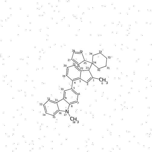 CC1=Cc2c(-c3ccc4c(c3)c3ccccc3n4C)cccc2C1C1(C2C=CC=C2)CCCCC1